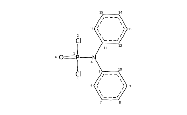 O=P(Cl)(Cl)N(c1ccccc1)c1ccccc1